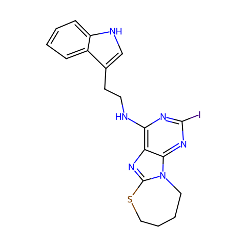 Ic1nc(NCCc2c[nH]c3ccccc23)c2nc3n(c2n1)CCCCS3